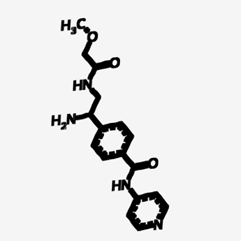 COCC(=O)NCC(N)c1ccc(C(=O)Nc2ccncc2)cc1